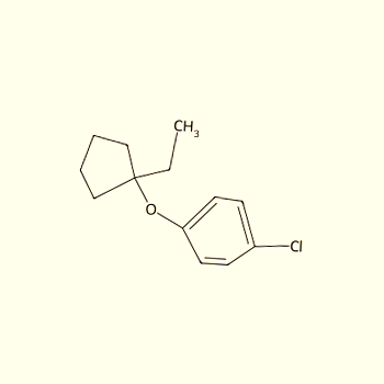 CCC1(Oc2ccc(Cl)cc2)CCCC1